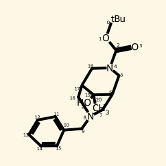 CC(C)(C)OC(=O)N1CC2CN(Cc3ccccc3)CC(C1)C2(C)O